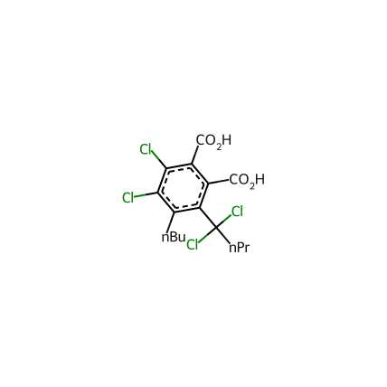 CCCCc1c(Cl)c(Cl)c(C(=O)O)c(C(=O)O)c1C(Cl)(Cl)CCC